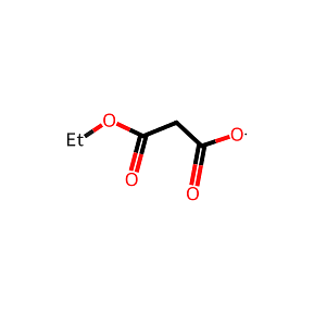 CCOC(=O)CC([O])=O